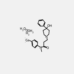 CN(C(=O)CCN1CCC(O)(c2ccccc2)CC1)c1cc[c]([Ge])cc1.O.O.O